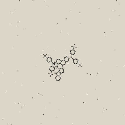 CC(C)(C)c1ccc(C(c2ccc(C(C)(C)C)cc2)c2ccc3c(c2)cc2c4c(c(N(c5ccc(C(C)(C)C)cc5)c5ccc(C(C)(C)C)cc5)ccc43)C(C)(C)c3c-2ccc2c3C(C)(C)c3ccccc3-2)cc1